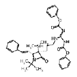 C[SiH](C)[C@@]1(CCCN/C(=N\C(=O)Oc2ccccc2)NC(=O)Oc2ccccc2)C(=O)N(C(C)(C)C)[C@@H]1/C=C/c1ccccc1